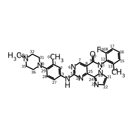 Cc1cc(Nc2ncc3c(=O)n(-c4c(C)cccc4F)n4ccnc4c3n2)ccc1N1CCN(C)CC1